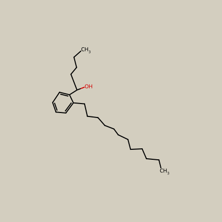 CCCCCCCCCCCCc1ccccc1C(O)CCCC